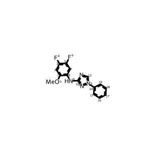 COc1cc(F)c(F)cc1Nc1ncn(-c2ccccc2)n1